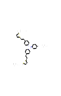 COc1ccc(N(c2ccc(/C=C/c3ccc(C=O)s3)cc2)c2ccc(/C=C/c3ccc(OC)s3)cc2)cc1